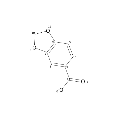 [O]C(=O)c1ccc2c(c1)OCO2